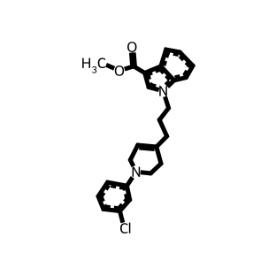 COC(=O)c1cn(CCCC2=CCN(c3cccc(Cl)c3)CC2)c2ccccc12